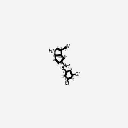 N#Cc1c[nH]c2ccc(NSc3cc(Cl)cc(Cl)c3)cc12